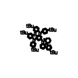 CC(C)(C)c1ccc(N2c3ccc(C(C)(C)C)cc3B3c4cc(C(C)(C)C)ccc4N(c4ccc(C(C)(C)C)cc4)c4cc(N5c6ccccc6C6(c7ccc(C(C)(C)C)cc7)CCCCC56C)cc2c43)cc1